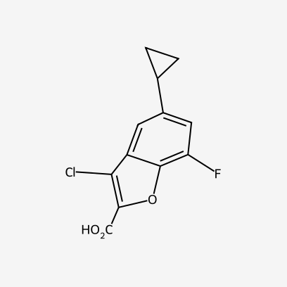 O=C(O)c1oc2c(F)cc(C3CC3)cc2c1Cl